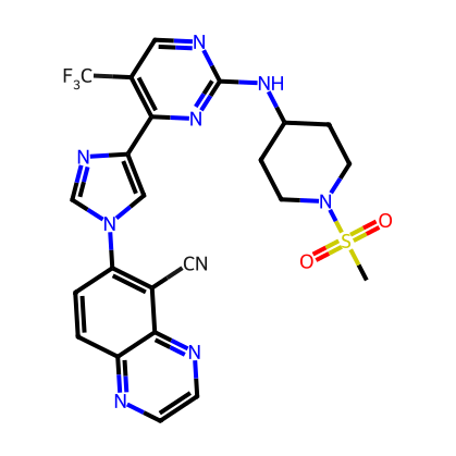 CS(=O)(=O)N1CCC(Nc2ncc(C(F)(F)F)c(-c3cn(-c4ccc5nccnc5c4C#N)cn3)n2)CC1